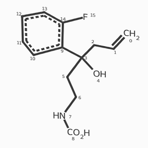 C=CCC(O)(CCNC(=O)O)c1ccccc1F